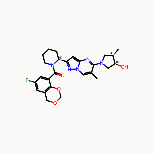 Cc1cn2nc([C@@H]3CCCCN3C(=O)c3cc(F)cc4c3OCOC4)cc2nc1N1C[C@@H](C)[C@@H](O)C1